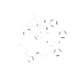 CC(=O)O[C@H]1C(=O)[C@@]2(C)[C@H]([C@H](OC(=O)c3ccccc3)[C@]3(O)C[C@H](OC(=O)[C@H](O)[C@@H](NC(=O)c4ccccc4)c4ccccc4)C(C)=C1C3(C)C)[C@]1(OC(C)=O)CO[C@@H]1C[C@@H]2O.OC[C@H]1O[C@@H](n2cnc3c2N=CNC[C@H]3O)C[C@@H]1O